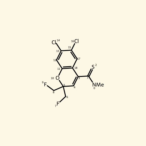 CNC(=S)C1=CC(CF)(CF)Oc2cc(Cl)c(Cl)cc21